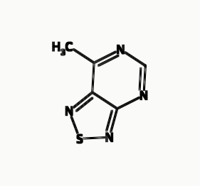 Cc1ncnc2nsnc12